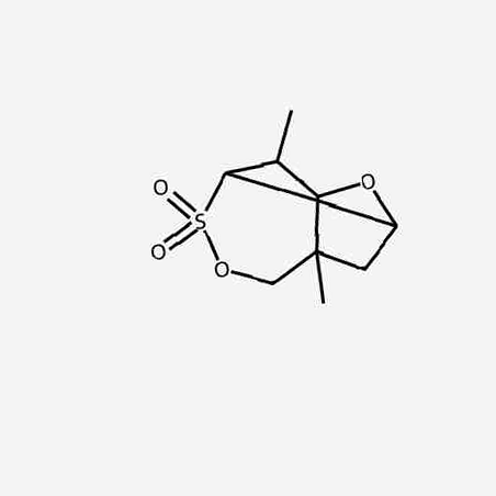 CC1C2OC3CC2(C)COS(=O)(=O)C31